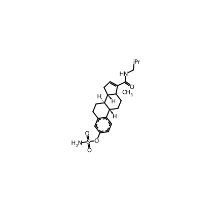 CC(C)CNC(=O)C1=CC[C@H]2[C@@H]3CCc4cc(OS(N)(=O)=O)ccc4[C@H]3CC[C@]12C